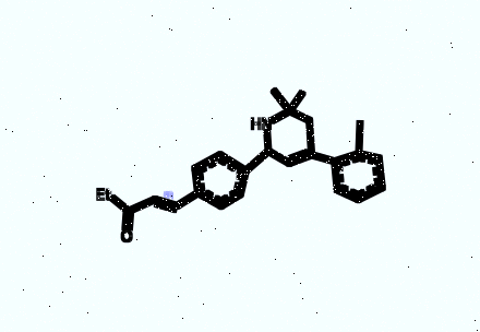 CCC(=O)/C=C/c1ccc(C2C=C(c3ccccc3C)CC(C)(C)N2)cc1